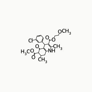 COCCOC(=O)C1=C(C)NC2=C(C(=O)C(C(=O)OC)C(C)C2)C1c1cccc(Cl)c1